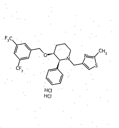 Cc1nc(CN2CCC[C@H](OCc3cc(C(F)(F)F)cc(C(F)(F)F)c3)[C@@H]2c2ccccc2)cs1.Cl.Cl